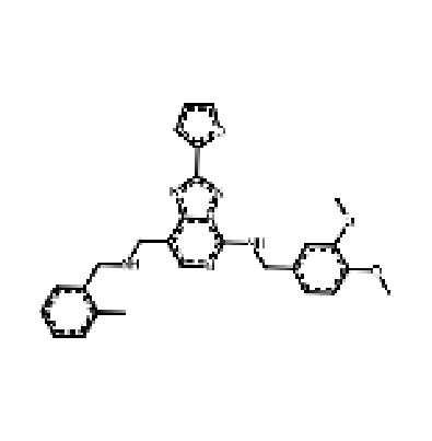 COc1ccc(CNc2ncc(CNCc3ccccc3C)c3nc(-c4ccco4)nn23)cc1OC